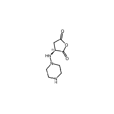 O=C1C[C@H](NN2CCNCC2)C(=O)O1